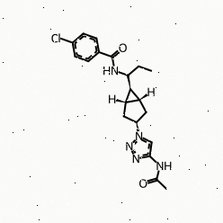 CCC(NC(=O)c1ccc(Cl)cc1)[C@H]1[C@@H]2C[C@@H](n3cc(NC(C)=O)nn3)C[C@@H]21